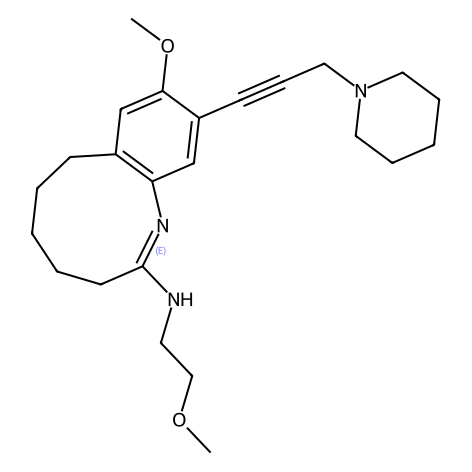 COCCN/C1=N/c2cc(C#CCN3CCCCC3)c(OC)cc2CCCCC1